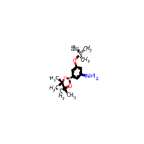 CC1(C)OB(c2cc(N)cc(O[Si](C)(C)C(C)(C)C)c2)OC1(C)C